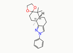 CC1(C)[C@@H]2CCc3cn(-c4ccccc4)nc3[C@@]2(C)CCC12OCCO2